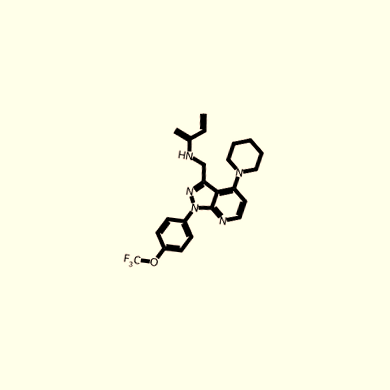 C=CC(=C)NCc1nn(-c2ccc(OC(F)(F)F)cc2)c2nccc(N3CCCCC3)c12